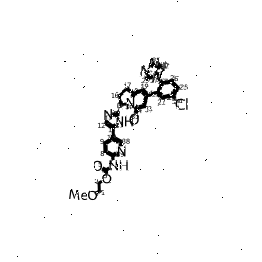 COCCOC(=O)Nc1ccc(-c2cnc([C@@H]3CCc4cc(-c5cc(Cl)ccc5-n5cnnn5)cc(=O)n43)[nH]2)cn1